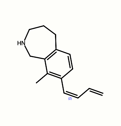 C=C/C=C\c1ccc2c(c1C)CNCCC2